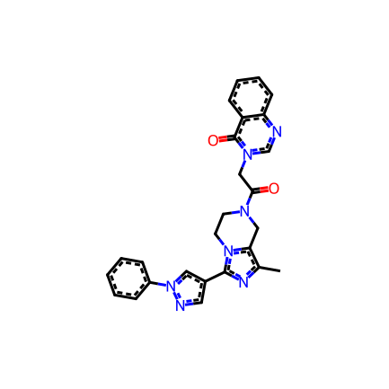 Cc1nc(-c2cnn(-c3ccccc3)c2)n2c1CN(C(=O)Cn1cnc3ccccc3c1=O)CC2